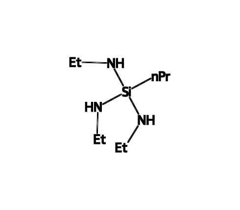 CCC[Si](NCC)(NCC)NCC